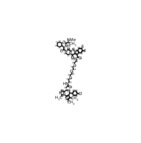 CN[C@@H](C)C(=O)N[C@H](C(=O)N1CCN(C(=O)c2c(C(=O)NCCOCCOCCOCCNC(=O)C[C@@H]3N=C(c4ccc(Cl)cc4)c4c(sc(C)c4C)-n4c(C)nnc43)c3cc(F)c(F)cc3n2C)CC1)C1CCCCC1